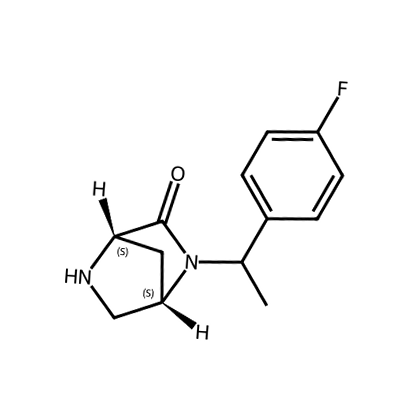 CC(c1ccc(F)cc1)N1C(=O)[C@@H]2C[C@H]1CN2